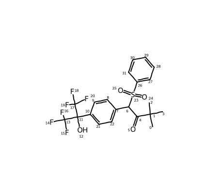 CC(C)(C)C(=O)C(c1ccc(C(O)(C(F)(F)F)C(F)(F)F)cc1)S(=O)(=O)c1ccccc1